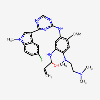 C=CC(O)Nc1cc(Nc2ncnc(-c3cn(C)c4ccc(F)cc34)n2)c(OC)cc1N(C)CCN(C)C